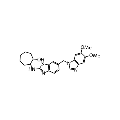 COc1cc2ncn(Cc3ccc4nc(NC5CCCCCC5O)sc4c3)c2cc1OC